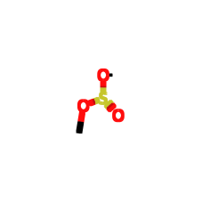 COS([O])=O